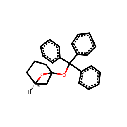 c1ccc(C(OC23CCC[C@H](C2)O3)(c2ccccc2)c2ccccc2)cc1